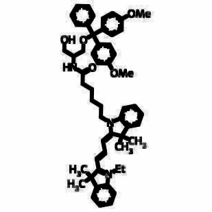 CC[N+]1=C(/C=C/C=C2/N(CCCCCC(=O)NC(CO)COC(c3ccccc3)(c3ccc(OC)cc3)c3ccc(OC)cc3)c3ccccc3C2(C)C)C(C)(C)c2ccccc21